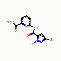 CCn1nc(C(C)(C)C)cc1C(=O)Nc1cccc(C(=O)OC)n1